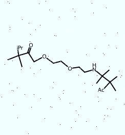 CC(=O)C(C)(C)C(C)(C)NCCOCCOCC(=O)C(C)(C)C(C)C